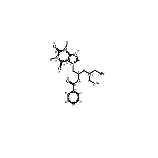 CC(C)CN(CC(C)C)CC(Cn1cnc2c1c(=O)n(C)c(=O)n2C)OC(=O)c1ccccc1